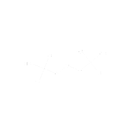 CC(Cl)(Cl)OOOC(C)(Cl)Cl